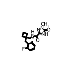 Cn1nc(C(=O)NCC2(Cc3c(F)cccc3F)CCC2)[nH]c1=O